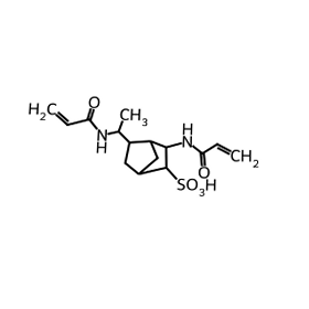 C=CC(=O)NC(C)C1CC2CC1C(NC(=O)C=C)C2S(=O)(=O)O